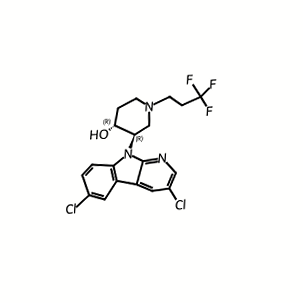 O[C@@H]1CCN(CCC(F)(F)F)C[C@H]1n1c2ccc(Cl)cc2c2cc(Cl)cnc21